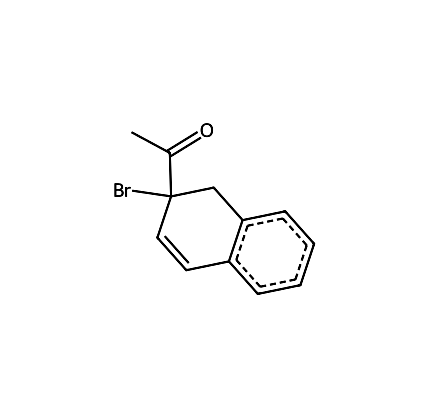 CC(=O)C1(Br)C=Cc2ccccc2C1